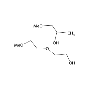 COCC(C)O.COCCOCCO